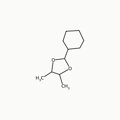 CC1OC(C2CCCCC2)OC1C